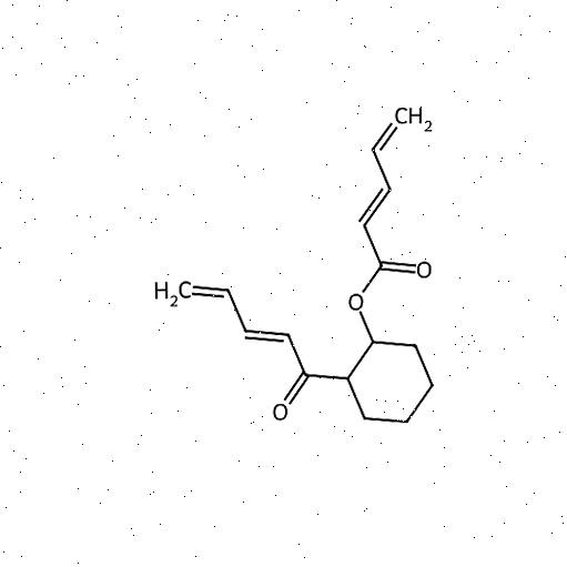 C=CC=CC(=O)OC1CCCCC1C(=O)C=CC=C